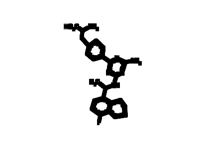 CC(Nc1nc(N)nc(-c2ccc(CC(N)C(=O)O)cc2)n1)c1ccc(F)c2ccccc12